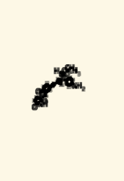 CC(C)(C)OC(=O)N([C@H]1CC[C@@H](N)CC1)[C@H]1C[C@H](C#Cc2ccc3c(c2)CN(C2CCC(=O)NC2=O)C3=O)C1